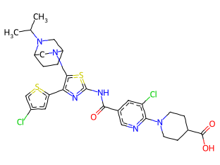 CC(C)N1CC2CCC1CN2c1sc(NC(=O)c2cnc(N3CCC(C(=O)O)CC3)c(Cl)c2)nc1-c1cc(Cl)cs1